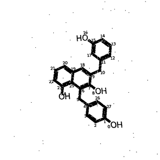 Oc1ccc(Cc2c(O)c(Cc3cccc(O)c3)cc3cccc(O)c23)cc1